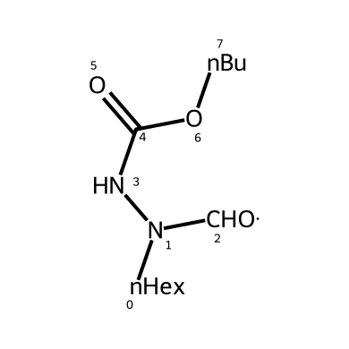 CCCCCCN([C]=O)NC(=O)OCCCC